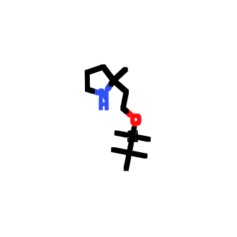 CC1(CCO[Si](C)(C)C(C)(C)C)CCCN1